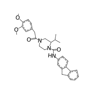 COc1ccc(CC(=O)N2CCN(C(=O)Nc3ccc4c(c3)Cc3ccccc3-4)C(C(C)C)C2)cc1OC